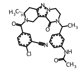 CC(=O)Nc1cccc(C(C)N2CCn3nc4c(c3C2=O)CN(C(=O)c2ccc(Cl)c(C#N)c2)[C@H](C)C4)c1